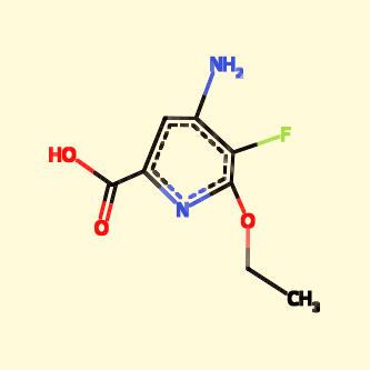 CCOc1nc(C(=O)O)cc(N)c1F